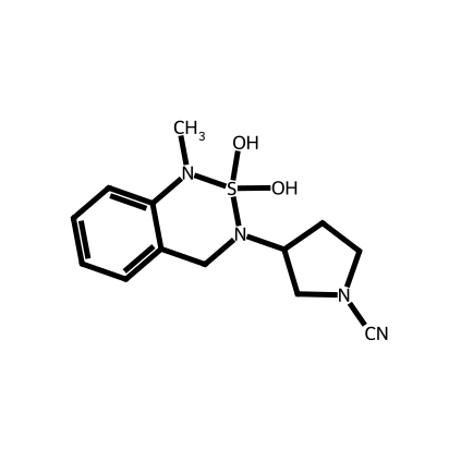 CN1c2ccccc2CN(C2CCN(C#N)C2)S1(O)O